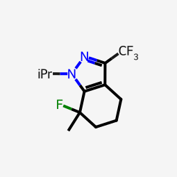 CC(C)n1nc(C(F)(F)F)c2c1C(C)(F)CCC2